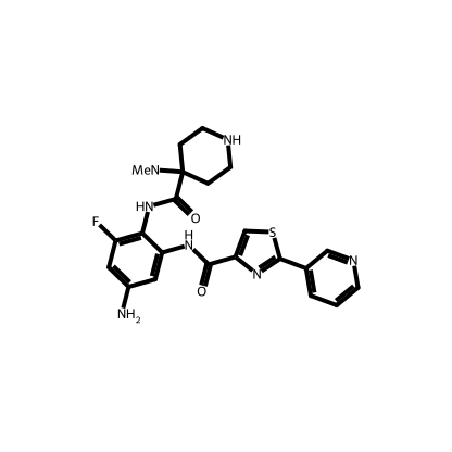 CNC1(C(=O)Nc2c(F)cc(N)cc2NC(=O)c2csc(-c3cccnc3)n2)CCNCC1